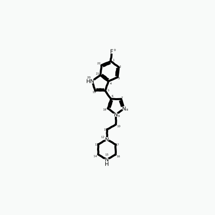 Fc1ccc2c(-c3cnn(CCN4CCNCC4)c3)c[nH]c2c1